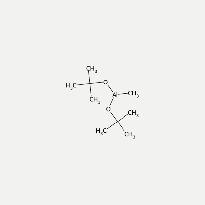 [CH3][Al]([O]C(C)(C)C)[O]C(C)(C)C